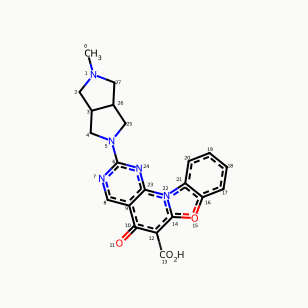 CN1CC2CN(c3ncc4c(=O)c(C(=O)O)c5oc6ccccc6n5c4n3)CC2C1